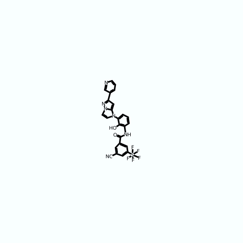 N#Cc1cc(C(=O)Nc2cccc(-n3ccn4nc(-c5cccnc5)cc34)c2O)cc(S(F)(F)(F)(F)F)c1